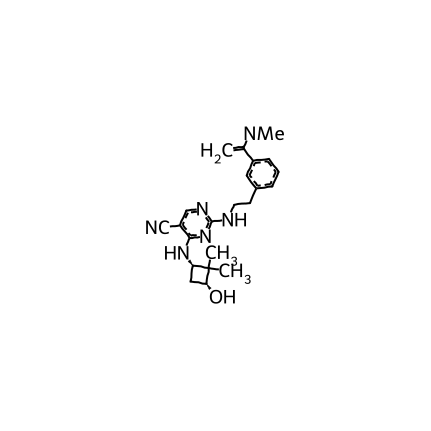 C=C(NC)c1cccc(CCNc2ncc(C#N)c(N[C@@H]3C[C@H](O)C3(C)C)n2)c1